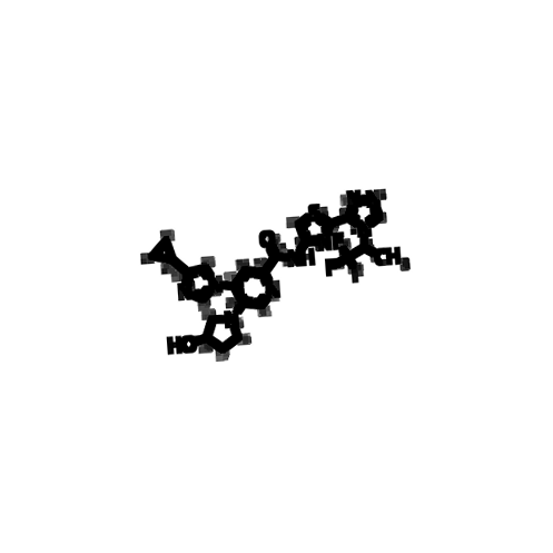 CC(n1cnnc1-c1nc(NC(=O)c2cc(-n3cnc(C4CC4)c3)c(N3CCC(O)C3)cn2)cs1)C(F)(F)F